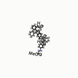 COC(=O)/C=C/c1ccc2[nH]c(C3(NC(=O)c4ccc5c(c4)N4CC(=O)Nc6ccccc6C4C5C4CCCCC4)CCCC3)nc2c1